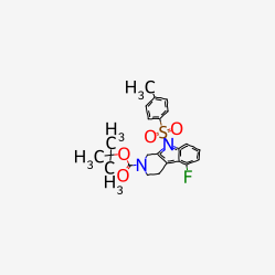 Cc1ccc(S(=O)(=O)n2c3c(c4c(F)cccc42)CCN(C(=O)OC(C)(C)C)C3)cc1